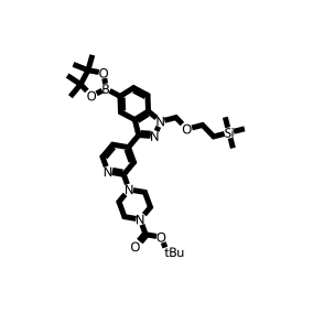 CC(C)(C)OC(=O)N1CCN(c2cc(-c3nn(COCC[Si](C)(C)C)c4ccc(B5OC(C)(C)C(C)(C)O5)cc34)ccn2)CC1